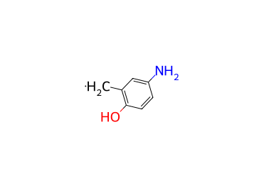 [CH2]c1cc(N)ccc1O